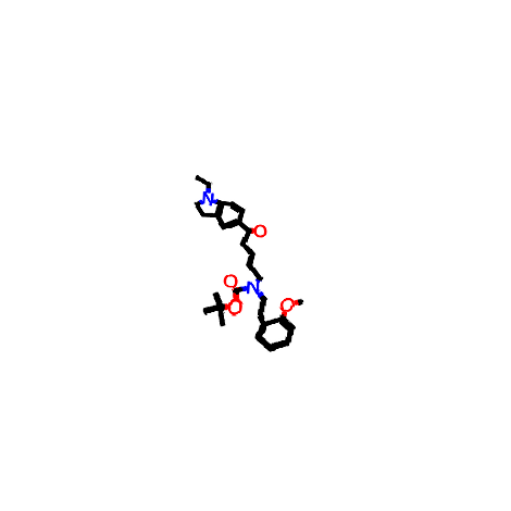 CCN1CCc2cc(C(=O)CCCCN(CCc3ccccc3OC)C(=O)OC(C)(C)C)ccc21